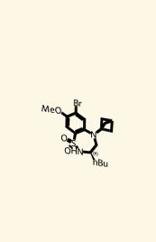 CCCC[C@@H]1CN(C23CC(C2)C3)c2cc(Br)c(OC)cc2S(=O)(=O)N1